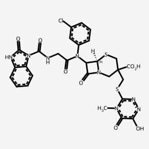 Cn1c(SCC2(C(=O)O)CS[C@@H]3C(N(C(=O)CNC(=O)n4c(=O)[nH]c5ccccc54)c4cccc(Cl)c4)C(=O)N3C2)nnc(O)c1=O